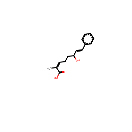 CC(=CCCC(O)C=Cc1ccccc1)C(=O)O